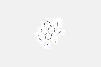 C=Cc1c(/C=C\C)c(/C=C\C)c(C=C)c2c1c(/C=C\C)c(/C=C\C)c1ccccc12